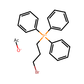 BrCCC[P+](c1ccccc1)(c1ccccc1)c1ccccc1.CC(=O)[O-]